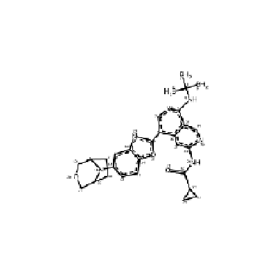 BC(B)(B)Nc1ncc(-c2nc3cc(N4C5CCC4COC5)ccc3o2)c2cc(NC(=O)C3CC3)ncc12